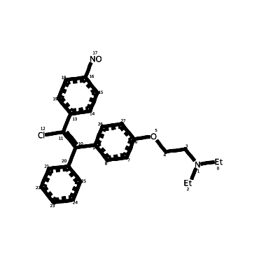 CCN(CC)CCOc1ccc(/C(=C(/Cl)c2ccc(N=O)cc2)c2ccccc2)cc1